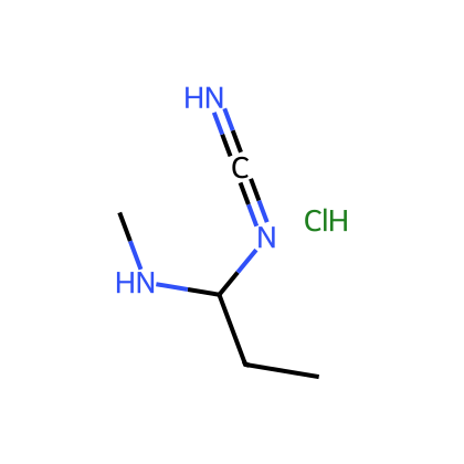 CCC(N=C=N)NC.Cl